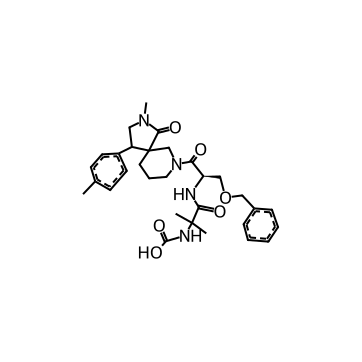 Cc1ccc(C2CN(C)C(=O)C23CCCN(C(=O)[C@@H](COCc2ccccc2)NC(=O)C(C)(C)NC(=O)O)C3)cc1